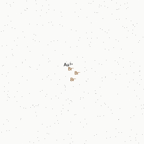 [Au+3].[Br-].[Br-].[Br-]